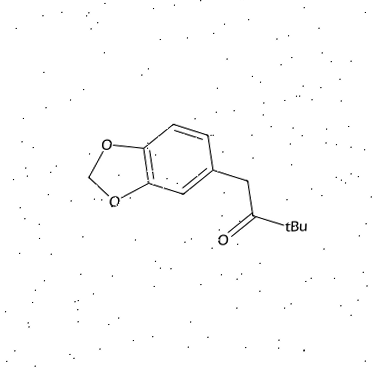 CC(C)(C)C(=O)Cc1ccc2c(c1)OCO2